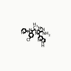 CC(c1nn(-c2cccnc2)c2cc(Cl)ccc12)n1nc(-c2cnc3[nH]ccc3c2)c2c(N)ncnc21